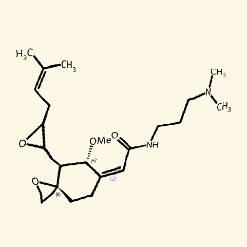 CO[C@@H]1/C(=C\C(=O)NCCCN(C)C)CC[C@]2(CO2)C1C1OC1CC=C(C)C